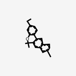 CCc1ccc2c(c1)OC(C)(C)c1cc3cc(C)ccc3cc1-2